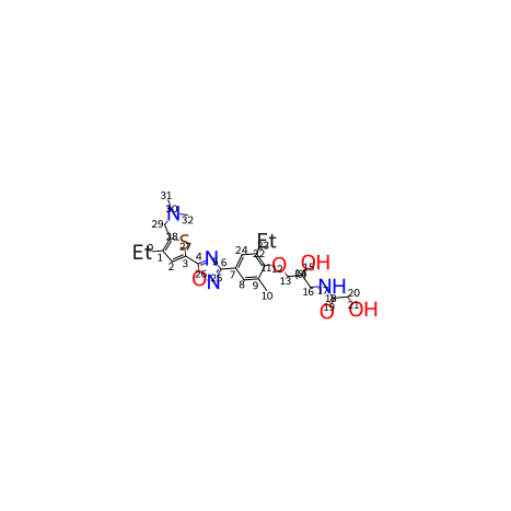 CCc1cc(-c2nc(-c3cc(C)c(OC[C@@H](O)CNC(=O)CO)c(CC)c3)no2)sc1CN(C)C